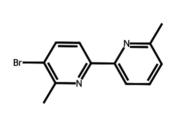 Cc1cccc(-c2ccc(Br)c(C)n2)n1